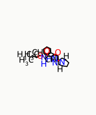 COc1cccc(C(=O)N[C@H]2C[C@H]3CC[C@@H](C2)N3c2ccc(C(=O)NCCC(C)(C)C)cn2)c1C